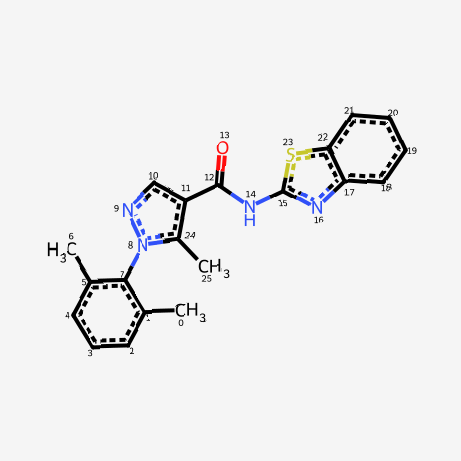 Cc1cccc(C)c1-n1ncc(C(=O)Nc2nc3ccccc3s2)c1C